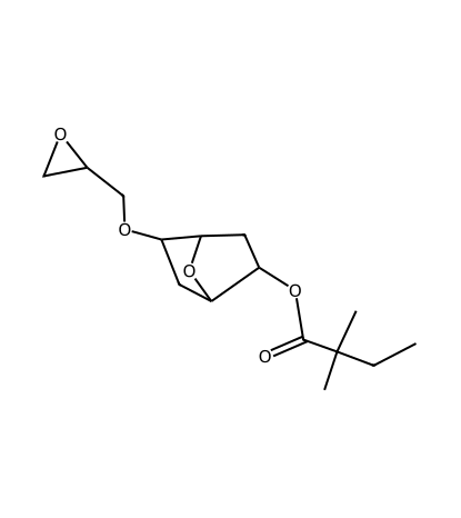 CCC(C)(C)C(=O)OC1CC2OC1CC2OCC1CO1